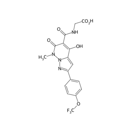 Cn1c(=O)c(C(=O)NCC(=O)O)c(O)c2cc(-c3ccc(OC(F)(F)F)cc3)nn21